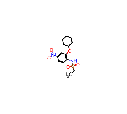 CCS(=O)(=O)Nc1ccc([N+](=O)[O-])cc1OC1CCCCC1